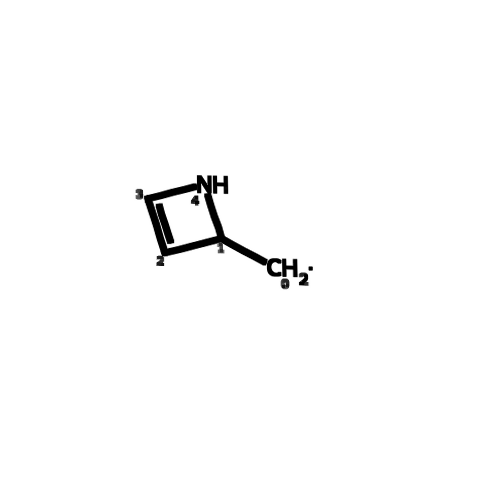 [CH2]C1C=CN1